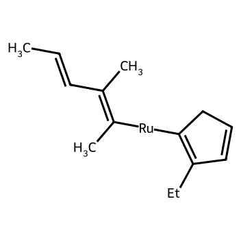 C/C=C/C(C)=[C](\C)[Ru][C]1=C(CC)C=CC1